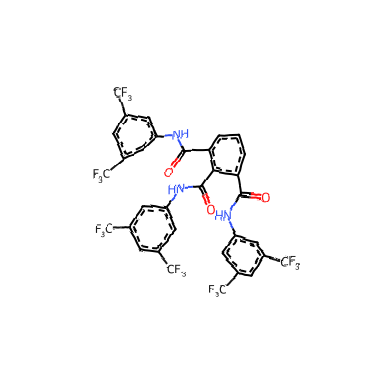 O=C(Nc1cc(C(F)(F)F)cc(C(F)(F)F)c1)c1cccc(C(=O)Nc2cc(C(F)(F)F)cc(C(F)(F)F)c2)c1C(=O)Nc1cc(C(F)(F)F)cc(C(F)(F)F)c1